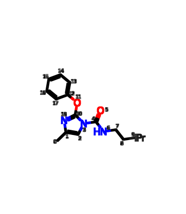 Cc1cn(C(=O)NCCC(C)C)c(Oc2ccccc2)n1